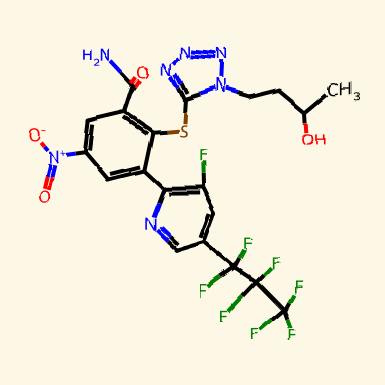 CC(O)CCn1nnnc1Sc1c(C(N)=O)cc([N+](=O)[O-])cc1-c1ncc(C(F)(F)C(F)(F)C(F)(F)F)cc1F